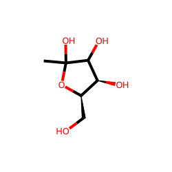 CC1(O)O[C@H](CO)[C@H](O)C1O